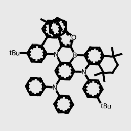 Cc1ccc2oc3c(c2c1)N(c1ccc(C(C)(C)C)cc1-c1ccccc1)c1cc(N(c2ccccc2)c2ccccc2)cc2c1B3c1ccc3c(c1N2c1ccc(C(C)(C)C)cc1)C(C)(C)CCC3(C)C